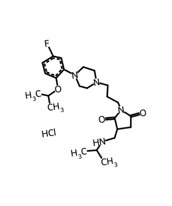 CC(C)NCC1CC(=O)N(CCCN2CCN(c3cc(F)ccc3OC(C)C)CC2)C1=O.Cl